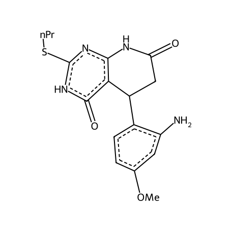 CCCSc1nc2c(c(=O)[nH]1)C(c1ccc(OC)cc1N)CC(=O)N2